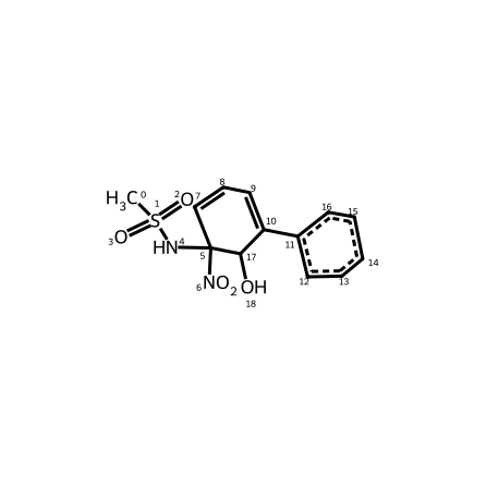 CS(=O)(=O)NC1([N+](=O)[O-])C=CC=C(c2ccccc2)C1O